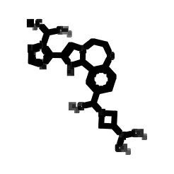 CC(c1ccc2c(c1)C1NC(c3ncnn3C(C)C)=CN1CCO2)N1CC(N(C)C)C1